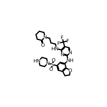 O=C1CCCCN1CCCNc1nc(Nc2cc(S(=O)(=O)N3CCNCC3)cc3c2OCC3)ncc1C(F)(F)F